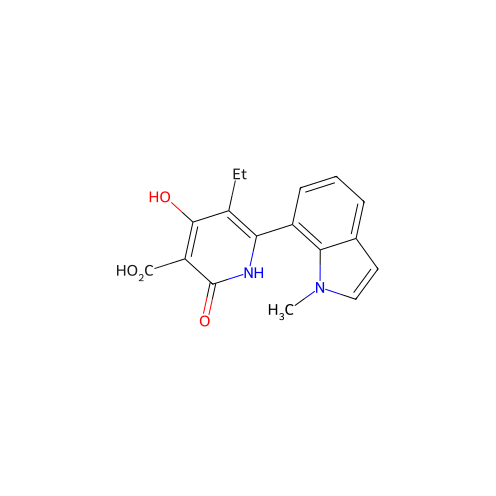 CCc1c(-c2cccc3ccn(C)c23)[nH]c(=O)c(C(=O)O)c1O